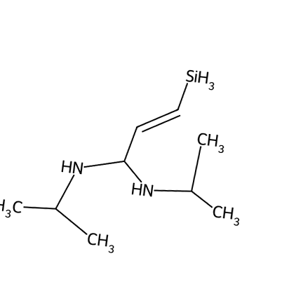 CC(C)NC(C=C[SiH3])NC(C)C